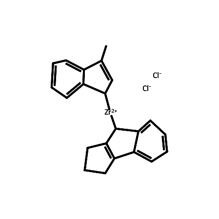 CC1=C[CH]([Zr+2][CH]2C3=C(CCC3)c3ccccc32)c2ccccc21.[Cl-].[Cl-]